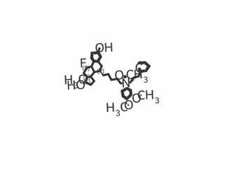 COc1ccc([N+](CCCCC[C@@H]2Cc3cc(O)ccc3C3C2C2CC[C@H](O)[C@@]2(C)C[C@@H]3F)(CCCc2ccccc2)C(C)=O)cc1OC